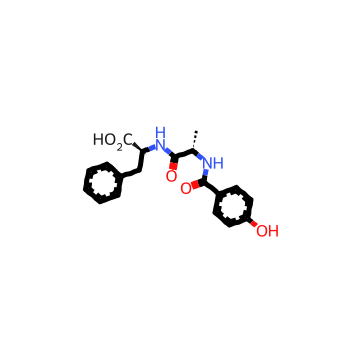 C[C@H](NC(=O)c1ccc(O)cc1)C(=O)N[C@@H](Cc1ccccc1)C(=O)O